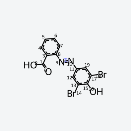 O=C(O)c1ccccc1/N=N/c1cc(Br)c(O)c(Br)c1